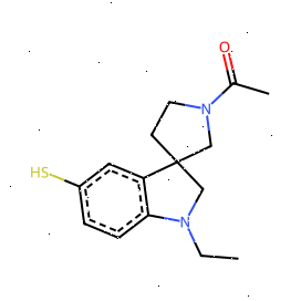 CCN1CC2(CCN(C(C)=O)C2)c2cc(S)ccc21